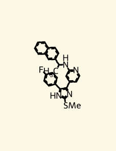 CSc1nc(-c2ccnc(NC(C)c3ccc4ccccc4c3)c2)c(-c2ccc(F)cc2)[nH]1